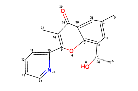 Cc1cc([C@H](C)O)c2oc(-c3ccccn3)c(C)c(=O)c2c1